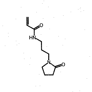 C=CC(=O)NCCCN1CCCC1=O